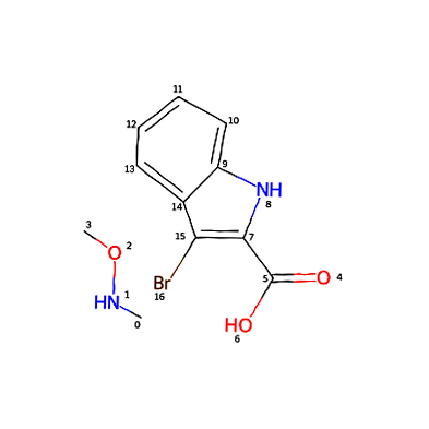 CNOC.O=C(O)c1[nH]c2ccccc2c1Br